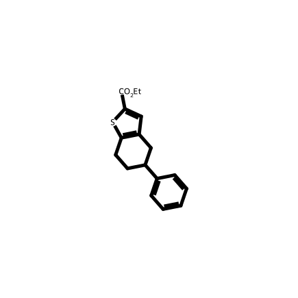 CCOC(=O)c1cc2c(s1)CCC(c1ccccc1)C2